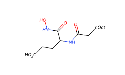 CCCCCCCCCC(=O)NC(CCC(=O)O)C(=O)NO